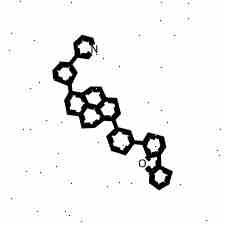 c1cncc(-c2cccc(-c3ccc4ccc5c(-c6cccc(-c7cccc8c7oc7ccccc78)c6)ccc6ccc3c4c65)c2)c1